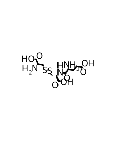 NC(CSSC[C@H](NC(=O)[C@@H](N)CCC(=O)O)C(=O)O)C(=O)O